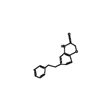 O=C1COc2ccc(CCc3c[c]ccc3)cc2N1